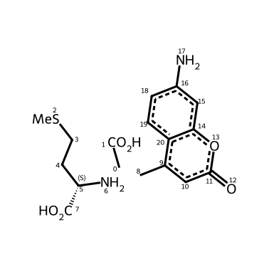 CC(=O)O.CSCC[C@H](N)C(=O)O.Cc1cc(=O)oc2cc(N)ccc12